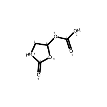 O=C(O)OC1CNC(=O)O1